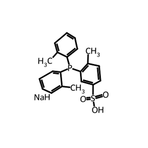 Cc1ccccc1P(c1ccccc1C)c1cc(S(=O)(=O)O)ccc1C.[NaH]